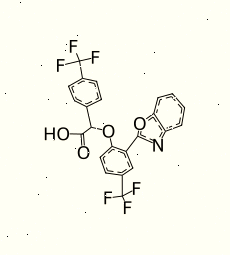 O=C(O)C(Oc1ccc(C(F)(F)F)cc1-c1nc2ccccc2o1)c1ccc(C(F)(F)F)cc1